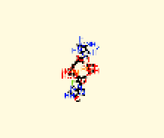 NC1=C2NCN(C3=C4O[PH](O)(O)OCc5oc(-n6cnc7c(=O)[nH]cnc76)c(F)c5O[PH](O)(O)O/C=C(/O3)[C@H]4O)C2NCN1